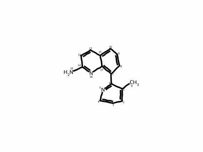 Cc1cccnc1-c1cccc2ccc(N)nc12